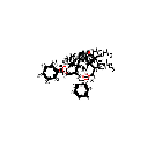 CC(COc1ccccc1)[C]([Al][C](C(C)COc1ccccc1)(C(C)(C)C)C(C)(C)C)(C(C)(C)C)C(C)(C)C